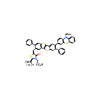 [C-]#[N+]/C(C(=O)O)=c1\s/c(=C/c2cc3c(cc2-c2ccccc2)sc2c4cc(-c5ccc6c(c5)Sc5ccccc5N6CCCCCC)c(-c5ccccc5)cc4sc32)c(=O)n1CC(=O)O